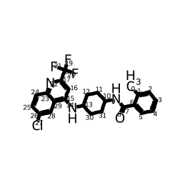 Cc1ccccc1C(=O)NC1CCC(Nc2cc(C(F)(F)F)nc3ccc(Cl)cc23)CC1